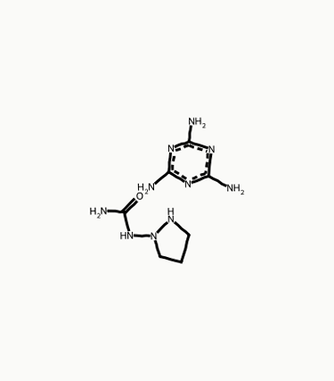 NC(=O)NN1CCCN1.Nc1nc(N)nc(N)n1